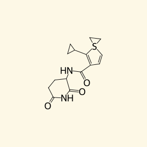 O=C1CCC(NC(=O)C2=C(C3CC3)S3(C=C2)CC3)C(=O)N1